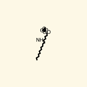 CCCCCCCCCCCCCCCC(=O)OS(=O)(=O)OC.N